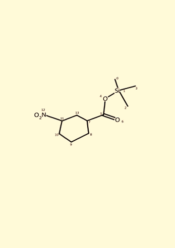 C[Si](C)(C)OC(=O)C1CCCC([N+](=O)[O-])C1